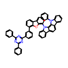 c1ccc(-c2nc(-c3ccccc3)nc(-c3cccc(-c4cccc5c4oc4c(-n6c7ccccc7c7ccc8c9ccccc9n(-c9ccccc9)c8c76)cccc45)c3)n2)cc1